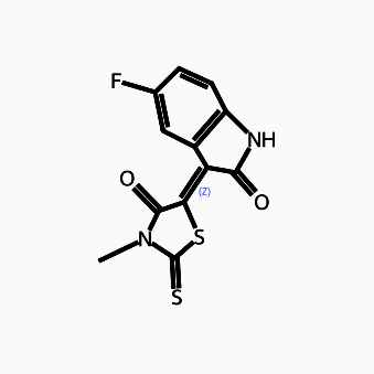 CN1C(=O)/C(=C2/C(=O)Nc3ccc(F)cc32)SC1=S